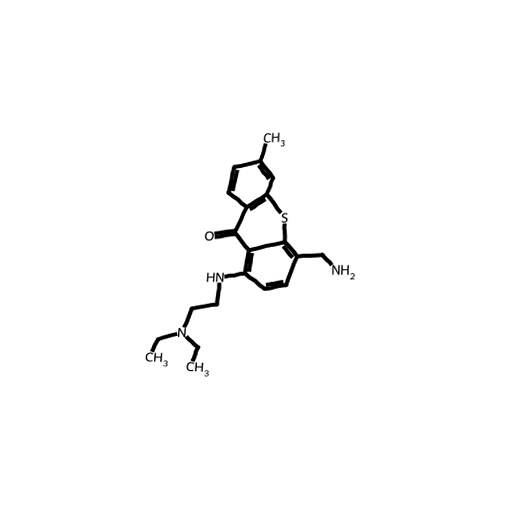 CCN(CC)CCNc1ccc(CN)c2sc3cc(C)ccc3c(=O)c12